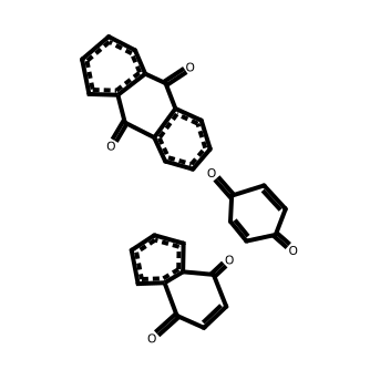 O=C1C=CC(=O)C=C1.O=C1C=CC(=O)c2ccccc21.O=C1c2ccccc2C(=O)c2ccccc21